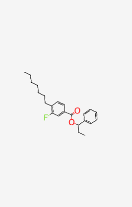 CCCCCCCc1ccc(C(=O)OC(CC)c2ccccc2)cc1F